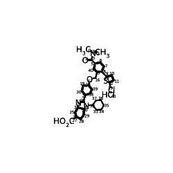 CN(C)C(=O)c1ccc(-c2ccc(Cl)s2)c(COc2ccc(-c3nc4cc(C(=O)O)ccc4n3C3CCCCC3)cc2)c1.Cl